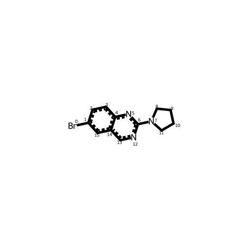 Brc1ccc2nc(N3CCCC3)ncc2c1